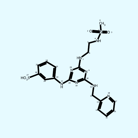 CS(=O)(=O)NCCNc1nc(NCc2ccccn2)nc(Nc2cccc(S(=O)(=O)O)c2)n1